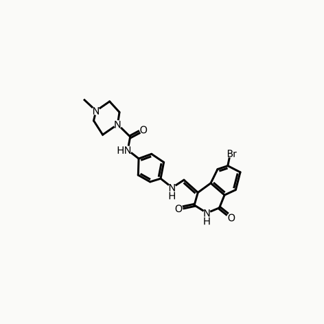 CN1CCN(C(=O)Nc2ccc(N/C=C3\C(=O)NC(=O)c4ccc(Br)cc43)cc2)CC1